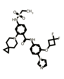 CCS(=O)(=O)Nc1ccc(C(=O)Nc2ccc(-n3ccnc3)c(OC3CC(F)(F)C3)c2)c(N2CCC3(CC2)CC3)c1